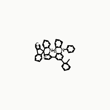 Cc1ccccc1-c1cc2c3c(c1)N(c1ccccc1)c1ccccc1B3N1c3ccccc3C3(c4ccccc4-c4ccccc43)c3cccc-2c31